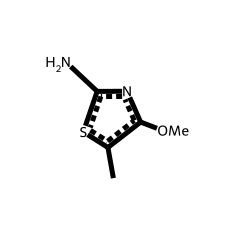 COc1nc(N)sc1C